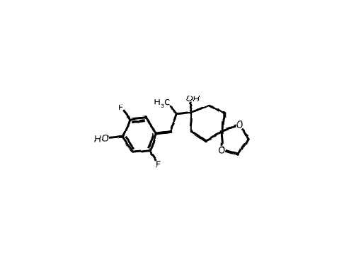 CC(Cc1cc(F)c(O)cc1F)C1(O)CCC2(CC1)OCCO2